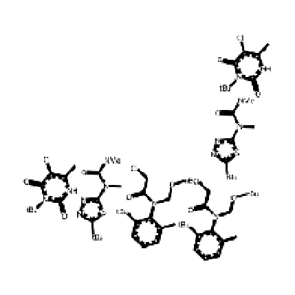 CCCCOCN(C(=O)CCl)c1c(C)cccc1C(C)(C)C.CCCCOCN(C(=O)CCl)c1c(C)cccc1C(C)(C)C.CNC(=O)N(C)c1nnc(C(C)(C)C)s1.CNC(=O)N(C)c1nnc(C(C)(C)C)s1.Cc1[nH]c(=O)n(C(C)(C)C)c(=O)c1Cl.Cc1[nH]c(=O)n(C(C)(C)C)c(=O)c1Cl